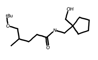 CC(CCC(=O)[N]CC1(CO)CCCC1)COC(C)(C)C